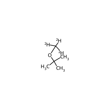 [2H]C([2H])([2H])OC(C)(C)C